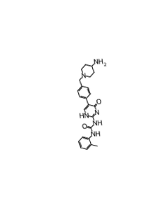 Cc1ccccc1NC(=O)Nc1nc(=O)c(-c2ccc(CN3CCC(N)CC3)cc2)c[nH]1